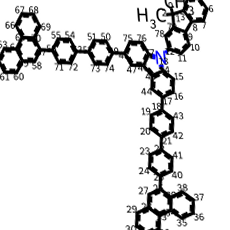 CC1(C)c2ccccc2-c2ccc(-n3c4ccc(-c5ccc(-c6ccc(-c7cc8ccccc8c8ccccc78)cc6)cc5)cc4c4cc(-c5ccc(-c6ccc(-c7cc8ccccc8c8ccccc78)cc6)cc5)ccc43)cc21